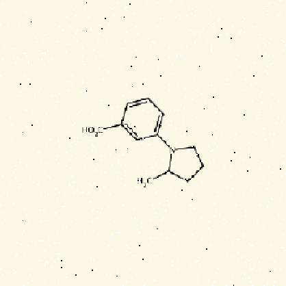 CC1CCCN1c1cccc(C(=O)O)c1